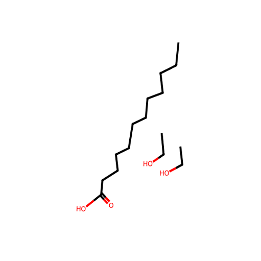 CCCCCCCCCCCC(=O)O.CCO.CCO